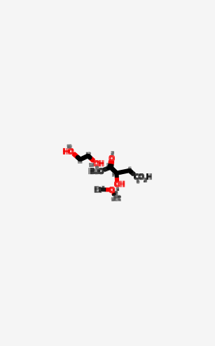 CC(C)COC(=O)C(O)CC(=O)O.CCOCC.OCCO